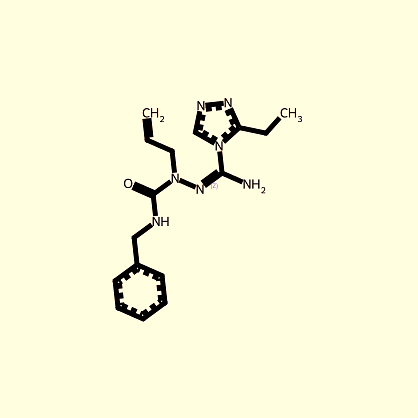 C=CCN(/N=C(/N)n1cnnc1CC)C(=O)NCc1ccccc1